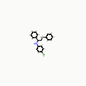 Brc1ccc(NC(C[Se]c2ccccc2)c2ccccc2)cc1